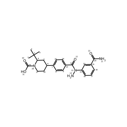 CC(C)(C)C1CC(c2ccc(C(=O)N(N)c3cccc(C(N)=O)c3)cc2)CCN1C(=O)O